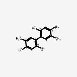 Cc1cc(-c2cc(C)c(C(C)(C)C)cc2C(C)C)c(C(C)C)cc1C(C)(C)C